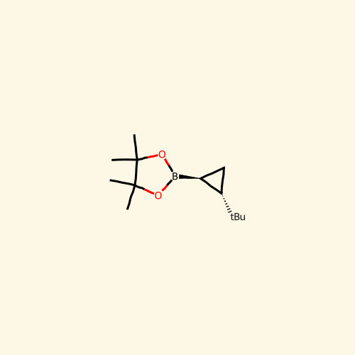 CC(C)(C)[C@H]1C[C@@H]1B1OC(C)(C)C(C)(C)O1